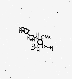 C=CC(=O)Nc1cc(Nc2cc(-c3ccc4cnn(C)c4c3)ncn2)c(OC)cc1OCCN(C)C